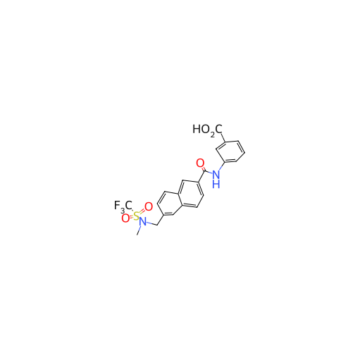 CN(Cc1ccc2cc(C(=O)Nc3cccc(C(=O)O)c3)ccc2c1)S(=O)(=O)C(F)(F)F